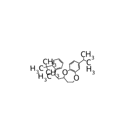 CC(C)c1ccc2c(c1)OCCC(CC(C)c1ccccc1C(C)(C)C)O2